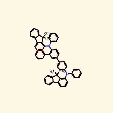 CC1(C)c2ccccc2-c2cccc(N(c3ccccc3)c3ccc(-c4ccc(N(c5ccccc5)c5cccc6c5C(C)(C)c5ccccc5-6)c(-c5ccccc5)c4)cc3)c21